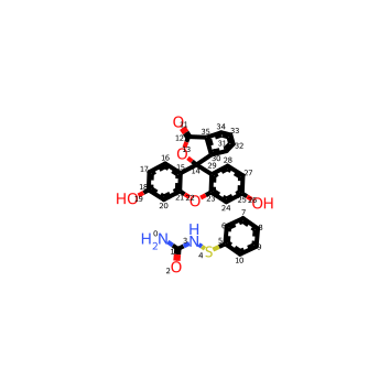 NC(=O)NSc1ccccc1.O=C1OC2(c3ccc(O)cc3Oc3cc(O)ccc32)c2ccccc21